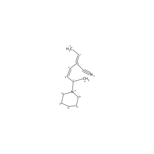 C/C=C(C#N)\C=C/C(C)N1CCCCC1